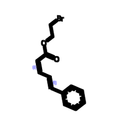 O=C(/C=C\C=C\c1ccccc1)OCCBr